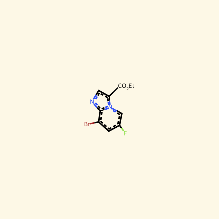 CCOC(=O)c1cnc2c(Br)cc(F)cn12